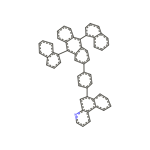 c1ccc2c(-c3c4ccccc4c(-c4cccc5ccccc45)c4cc(-c5ccc(-c6cc7ncccc7c7ccccc67)cc5)ccc34)cccc2c1